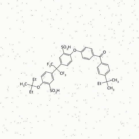 CCC(C)(CC)Oc1ccc(C(c2ccc(Oc3ccc(C(=O)c4ccc(C(C)(C)CC)cc4)cc3)c(S(=O)(=O)O)c2)(C(F)(F)F)C(F)(F)F)cc1S(=O)(=O)O